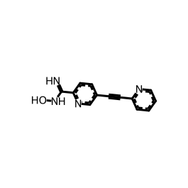 N=C(NO)c1ccc(C#Cc2ccccn2)cn1